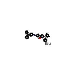 Cc1cc(C)cc(N(c2ccc(C(C)(C)C)cc2)c2ccc3c(c2)C(C)(C)c2cc(/C=C/c4ccc(N(c5ccccc5)c5ccccc5)cc4)ccc2-3)c1